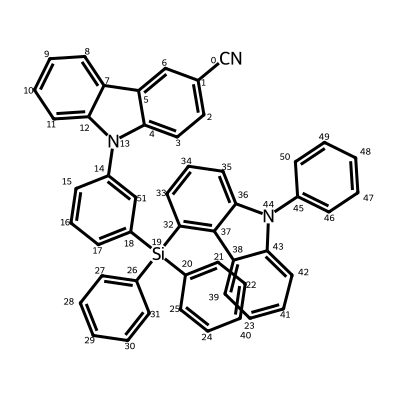 N#Cc1ccc2c(c1)c1ccccc1n2-c1cccc([Si](c2ccccc2)(c2ccccc2)c2cccc3c2c2ccccc2n3-c2ccccc2)c1